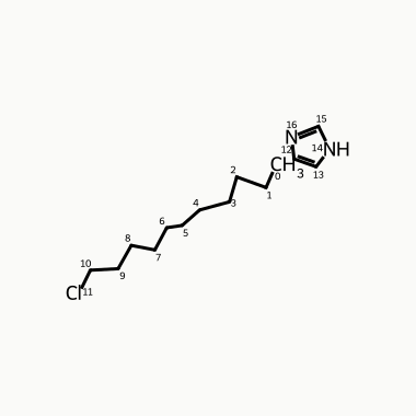 CCCCCCCCCCCCl.c1c[nH]cn1